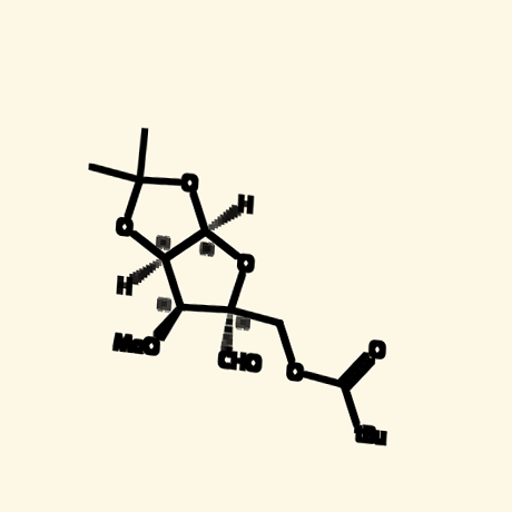 CO[C@H]1[C@H]2OC(C)(C)O[C@H]2O[C@@]1(C=O)COC(=O)C(C)(C)C